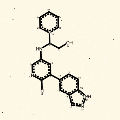 OCC(Nc1cnc(Cl)c(-c2ccc3[nH]ncc3c2)c1)c1ccccc1